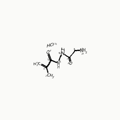 C=C(C)C(=O)NNC(=O)CN.Cl